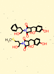 CSCCC(CO)N1C(=O)CC(Cc2ccc(O)cc2O)C1=O.O=C1CC(Cc2ccc(O)cc2O)C(=O)N1C(CO)Cc1ccccc1